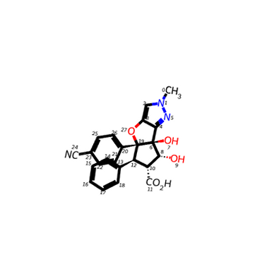 Cn1cc2c(n1)[C@]1(O)[C@H](O)[C@H](C(=O)O)[C@@H](c3ccccc3)[C@]1(c1ccc(C#N)cc1)O2